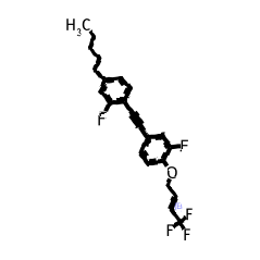 CCCCCc1ccc(C#Cc2ccc(OC/C=C/C(F)(F)F)c(F)c2)c(F)c1